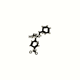 O=[N+]([O-])c1ccc(SSCc2ccccc2)nc1.SS